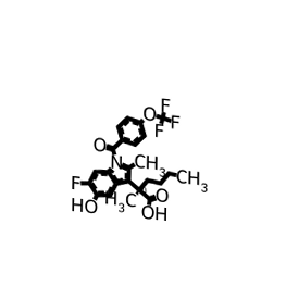 CCCC[C@@](C)(C(=O)O)c1c(C)n(C(=O)c2ccc(OC(F)(F)F)cc2)c2cc(F)c(O)cc12